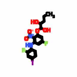 CCCC(O)C(O)Oc1cc(F)cc(Nc2ccc(I)cc2F)c1[N+](=O)[O-]